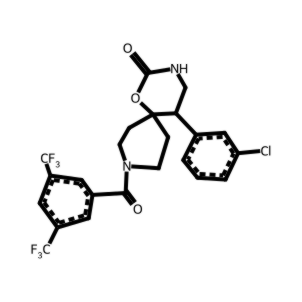 O=C1NCC(c2cccc(Cl)c2)C2(CCN(C(=O)c3cc(C(F)(F)F)cc(C(F)(F)F)c3)CC2)O1